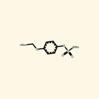 CCCCCCCCCCOc1ccc(OS(=O)(=O)NC)cc1